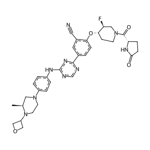 C[C@H]1CN(c2ccc(Nc3ncnc(-c4ccc(O[C@H]5CCN(C(=O)[C@@H]6CCC(=O)N6)C[C@@H]5F)c(C#N)c4)n3)cc2)CCN1C1COC1